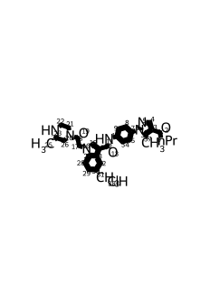 CCCC(=O)c1cnn(-c2ccc(NC(=O)c3cn(CC(=O)N4CCNC(C)C4)c4ccc(C)cc34)cc2)c1C.Cl